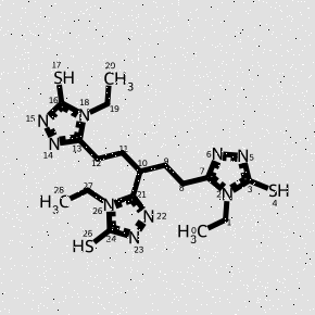 CCn1c(S)nnc1CCC(CCc1nnc(S)n1CC)c1nnc(S)n1CC